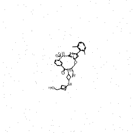 Cc1cccc(C)c1-c1cc2nc(n1)NS(=O)(=O)c1cccc(c1)C(=O)N(C1CC(NC34CC(CO)(C3)C4)C1)[C@H](CC(C)C)CO2